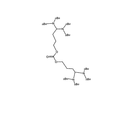 CCCCN(CCCC)C(CCCOC(=O)OCCCC(N(CCCC)CCCC)N(CCCC)CCCC)N(CCCC)CCCC